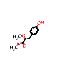 COC(=O)[C@H](Cc1ccc(O)cc1)OC